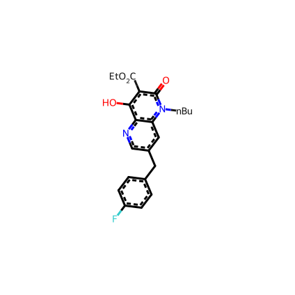 CCCCn1c(=O)c(C(=O)OCC)c(O)c2ncc(Cc3ccc(F)cc3)cc21